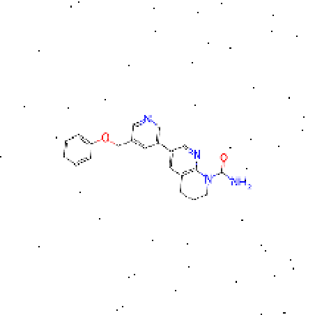 NC(=O)N1CCCc2cc(-c3cncc(COc4ccccc4)c3)cnc21